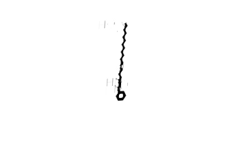 O=C(O)CCCCCCCCCCCOCCCNC(=O)Nc1ccccc1